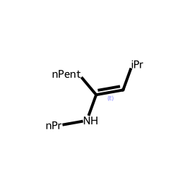 CCCCC/C(=C\C(C)C)NCCC